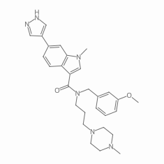 COc1cccc(CN(CCCN2CCN(C)CC2)C(=O)c2cn(C)c3cc(-c4cn[nH]c4)ccc23)c1